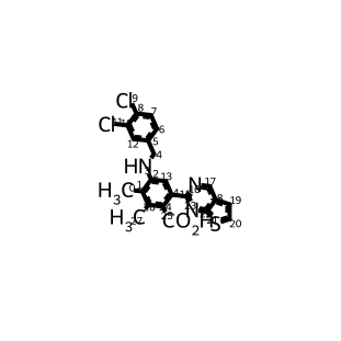 Cc1c(NCc2ccc(Cl)c(Cl)c2)cc(-c2ncc3ccsc3n2)c(C(=O)O)c1C